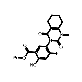 CC(C)OC(=O)c1cc(-n2c(=O)c3c(n(C)c2=O)CCCC3)c(F)cc1C#N